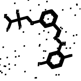 Cc1ccc(F)cc1N/N=C/c1cccc(OCC(F)(F)C(F)F)c1